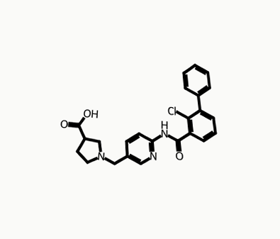 O=C(Nc1ccc(CN2CCC(C(=O)O)C2)cn1)c1cccc(-c2ccccc2)c1Cl